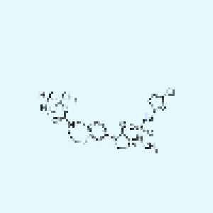 CN([C@H]1CCN(c2ccc3c(c2)CCCN(C(=O)OC(C)(C)C)C3)C1=O)S(=O)(=O)/C=C/C1CC=C(Cl)S1